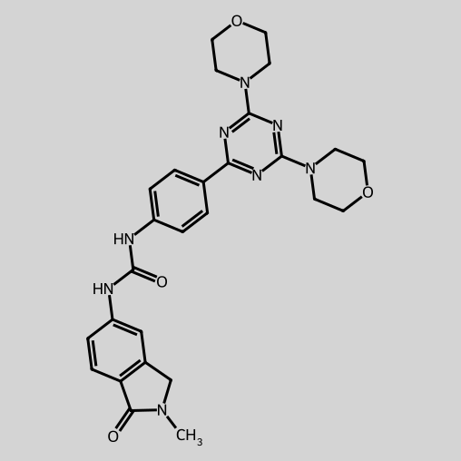 CN1Cc2cc(NC(=O)Nc3ccc(-c4nc(N5CCOCC5)nc(N5CCOCC5)n4)cc3)ccc2C1=O